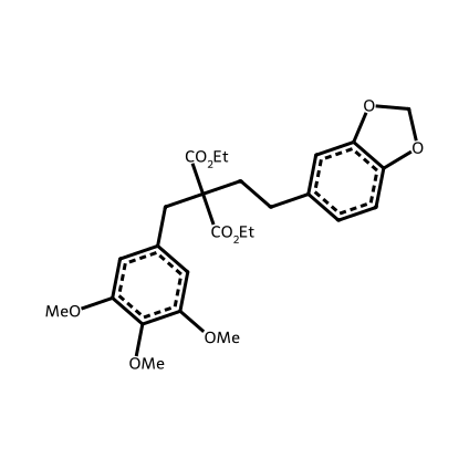 CCOC(=O)C(CCc1ccc2c(c1)OCO2)(Cc1cc(OC)c(OC)c(OC)c1)C(=O)OCC